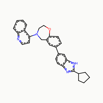 c1ccc2c(N3CCOc4ccc(-c5ccc6nc(C7CCCC7)[nH]c6c5)cc4C3)ccnc2c1